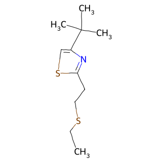 CCSCCc1nc(C(C)(C)C)cs1